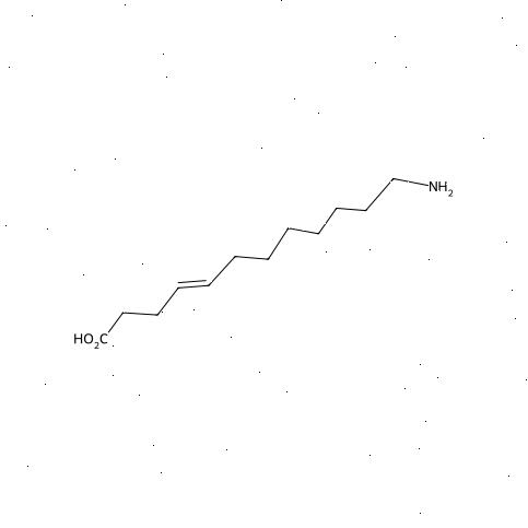 NCCCCCCCC=CCCC(=O)O